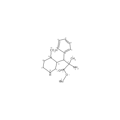 CC(C)(C)OC(=O)C(C)(N)C(c1ccccc1)C1CNCCN1C(=O)O